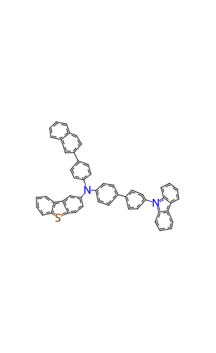 c1ccc2cc(-c3ccc(N(c4ccc(-c5ccc(-n6c7ccccc7c7ccccc76)cc5)cc4)c4ccc5sc6ccccc6c5c4)cc3)ccc2c1